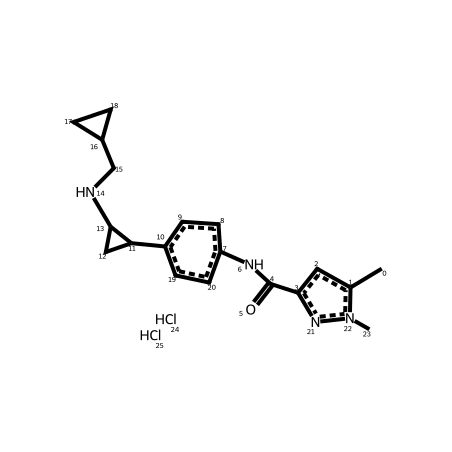 Cc1cc(C(=O)Nc2ccc(C3CC3NCC3CC3)cc2)nn1C.Cl.Cl